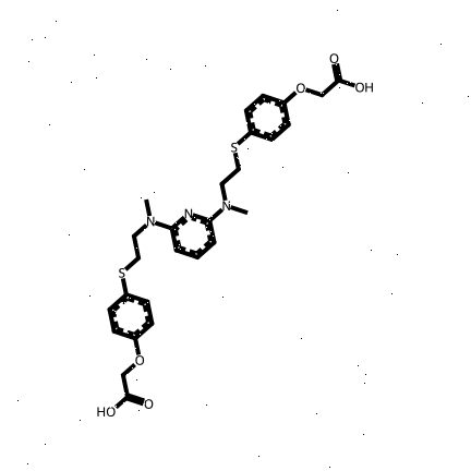 CN(CCSc1ccc(OCC(=O)O)cc1)c1cccc(N(C)CCSc2ccc(OCC(=O)O)cc2)n1